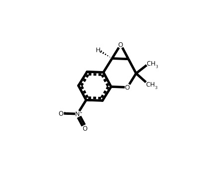 CC1(C)Oc2cc([N+](=O)[O-])ccc2[C@H]2OC21